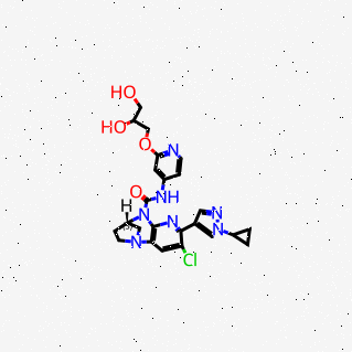 O=C(Nc1ccnc(OCC(O)CO)c1)N1c2nc(-c3cnn(C4CC4)c3)c(Cl)cc2N2CC[C@H]1C2